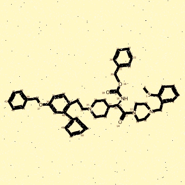 CSc1ccccc1CN1CCN(C(=O)[C@H](NC(=O)OCc2ccccc2)C2CCN(CCc3ccc(OCc4ccccc4)cc3-c3ccccc3)CC2)CC1